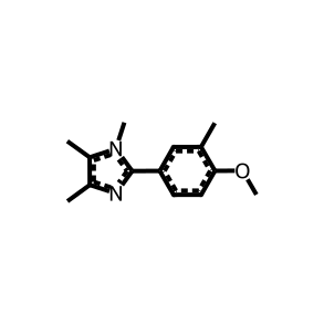 COc1ccc(-c2nc(C)c(C)n2C)cc1C